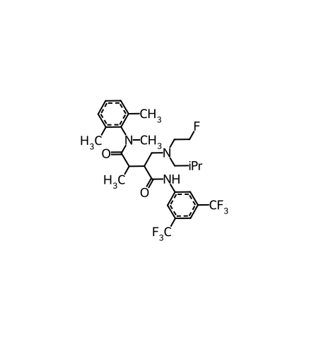 Cc1cccc(C)c1N(C)C(=O)C(C)C(CN(CCF)CC(C)C)C(=O)Nc1cc(C(F)(F)F)cc(C(F)(F)F)c1